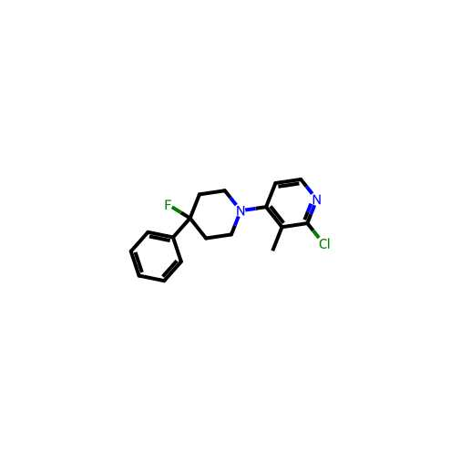 Cc1c(N2CCC(F)(c3ccccc3)CC2)ccnc1Cl